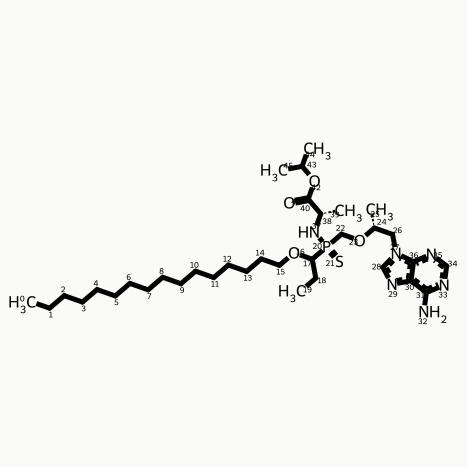 CCCCCCCCCCCCCCCCOC(CC)P(=S)(CO[C@H](C)Cn1cnc2c(N)ncnc21)N[C@@H](C)C(=O)OC(C)C